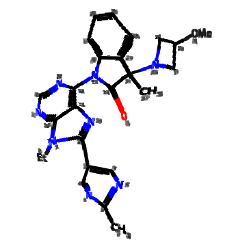 CCn1c(-c2cnc(C)nc2)nc2c(N3C(=O)C(C)(N4CC(OC)C4)c4ccccc43)ncnc21